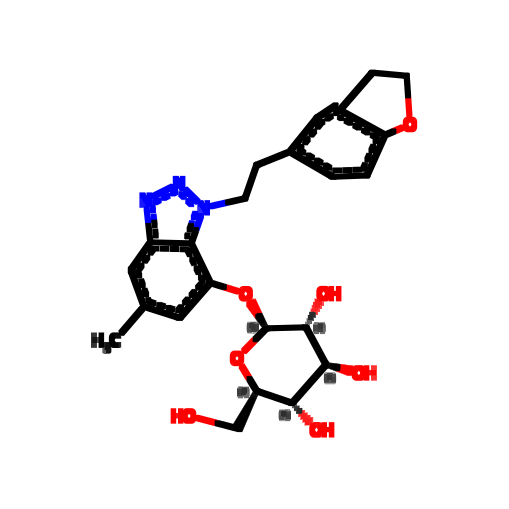 Cc1cc(O[C@@H]2O[C@H](CO)[C@@H](O)[C@H](O)[C@H]2O)c2c(c1)nnn2CCc1ccc2c(c1)CCO2